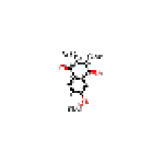 CCCCOc1ccc2c(c1)C(=O)C(OC(C)=O)=C(OC(C)=O)C2=O